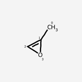 CC1=CO1